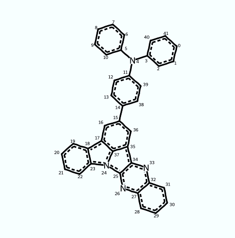 c1ccc(N(c2ccccc2)c2ccc(-c3cc4c5ccccc5n5c6nc7ccccc7nc6c(c3)c45)cc2)cc1